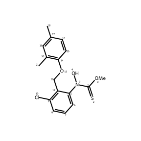 COC(=S)N(O)c1cccc(Cl)c1COc1ccc(C)cc1C